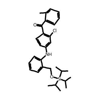 Cc1ccccc1C(=O)c1ccc(Nc2ccccc2CO[Si](C(C)C)(C(C)C)C(C)C)cc1Cl